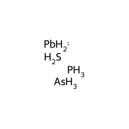 P.S.[AsH3].[PbH2]